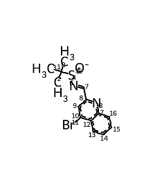 CC(C)(C)[S+]([O-])/N=C/c1cc(Br)c2ccccc2n1